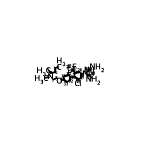 CCCC(C)N(C)CCOc1ccc(-c2c(Cl)cc(-n3nc(N)nc3N)cc2C(F)(F)F)cc1